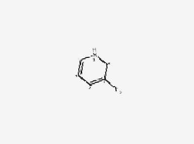 FC1=CC=CNC1